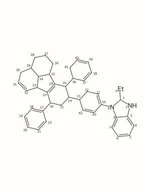 CCC1Nc2ccccc2N1C1=CCC(C2CC(c3ccccc3)C3=C(C4CCCC5CC=CC3C54)C2C2C=CC=CC2)C=C1